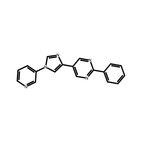 c1ccc(-c2ncc(-c3cn(-c4cccnc4)cn3)cn2)cc1